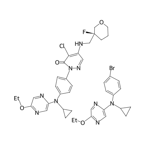 CCOc1cnc(N(c2ccc(-n3ncc(NC[C@@]4(F)CCCOC4)c(Cl)c3=O)cc2)C2CC2)cn1.CCOc1cnc(N(c2ccc(Br)cc2)C2CC2)cn1